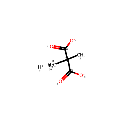 CC(C)(C(=O)[O-])C(=O)[O-].[H+].[K+]